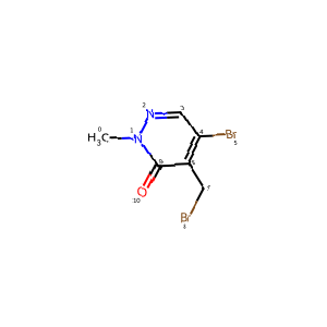 Cn1ncc(Br)c(CBr)c1=O